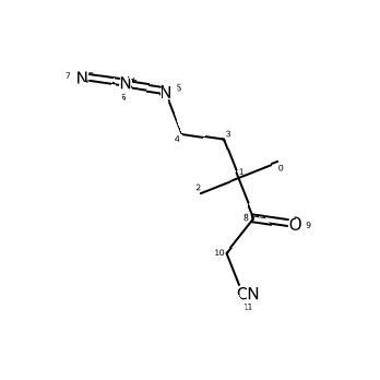 CC(C)(CCN=[N+]=[N-])C(=O)CC#N